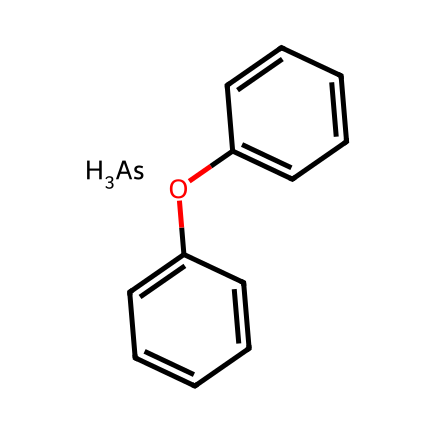 [AsH3].c1ccc(Oc2ccccc2)cc1